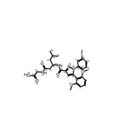 COc1cccc(OC)c1-c1cc(C(=O)NC(CC(=O)NCC(=O)O)CC(C)C)nn1-c1cccc(F)c1